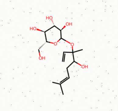 C=CC(C)(OC1O[C@H](CO)[C@@H](O)[C@H](O)[C@H]1O)C(O)CC=C(C)C